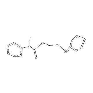 O=C(OCCNc1ccccc1)C(I)c1ccccc1